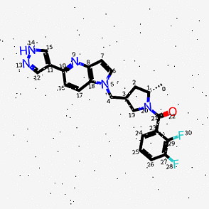 C[C@H]1CC(Cn2ccc3nc(-c4cn[nH]c4)ccc32)CN1C(=O)c1cccc(F)c1F